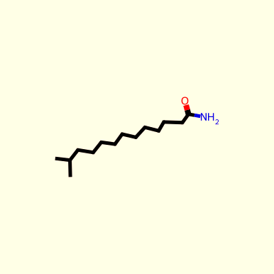 CC(C)CCCCCCCCCCC(N)=O